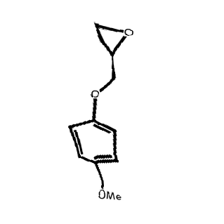 COc1ccc(OC[C@H]2CO2)cc1